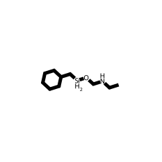 CCNCO[SiH2]CC1CCCCC1